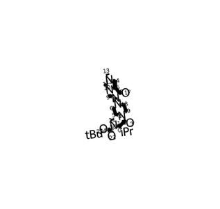 CC(C)[C@H](C(=O)N1CCN(N2CN3CN(C)C=C3C2=O)CC1)N(C)C(=O)OC(C)(C)C